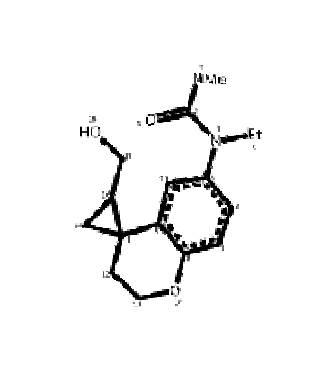 CCN(C(=O)NC)c1ccc2c(c1)C1(CCO2)CC1CO